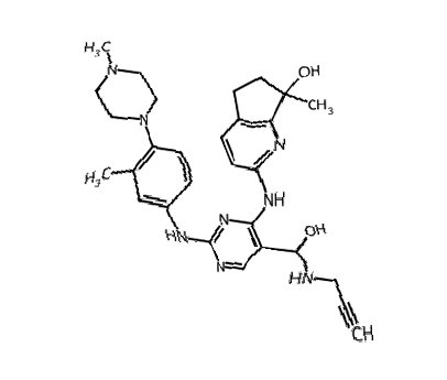 C#CCNC(O)c1cnc(Nc2ccc(N3CCN(C)CC3)c(C)c2)nc1Nc1ccc2c(n1)C(C)(O)CC2